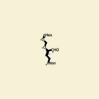 CCCCCCCCCC/C=C(\C=O)OCOCCCCCC